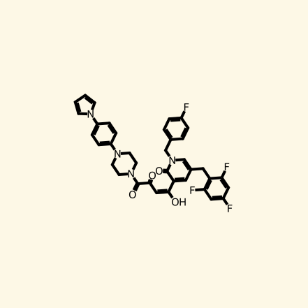 O=C(/C=C(/O)c1cc(Cc2c(F)cc(F)cc2F)cn(Cc2ccc(F)cc2)c1=O)C(=O)N1CCN(c2ccc(-n3cccc3)cc2)CC1